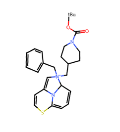 CC(C)(C)OC(=O)N1CCC(C[N+]2(Cc3ccccc3)C=C3C=CSC4=CC=CC2N34)CC1